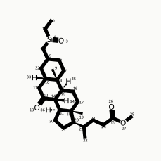 CC[Si](=O)CC1CC[C@@]2(C)[C@H](CC(=O)[C@@H]3[C@@H]2CC[C@]2(C)[C@@H](C(C)CCC(=O)OC)CC[C@@H]32)C1